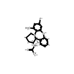 Cc1cc(F)cc2c1N1CCC[C@@H](NC(=O)C(F)(F)F)[C@@H]1c1ccccc1O2